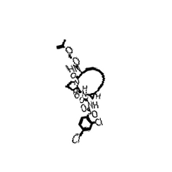 C=C(C)OCON[C@H]1CCCCC/C=C\[C@@H]2C[C@@]2(C(=O)NS(=O)(=O)c2ccc(Cl)cc2Cl)NC(=O)[C@@H]2CCCN2C1=O